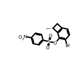 C[C@@H]1Cc2ccc(Br)c(OS(=O)(=O)c3ccc([N+](=O)[O-])cc3)c21